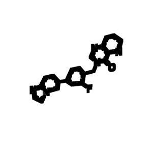 O=c1c2ncccc2ncn1Cc1ccc(-c2ccc3nccn3c2)cc1F